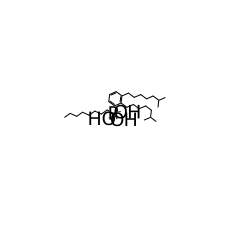 CCCCCCCCP(O)(O)(O)c1cccc(CCCCCC(C)C)c1CCCCCC(C)C